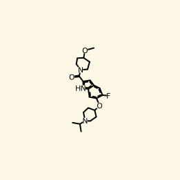 COC1CCN(C(=O)c2cc3cc(F)c(OC4CCN(C(C)C)CC4)cc3[nH]2)CC1